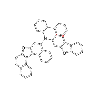 c1ccc(-c2ccccc2N(c2ccc3c(c2)oc2ccccc23)c2cc3oc4ccc5ccccc5c4c3c3ccccc23)cc1